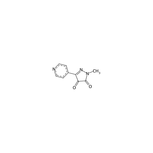 CN1N=C(c2ccncc2)C(=O)C1=O